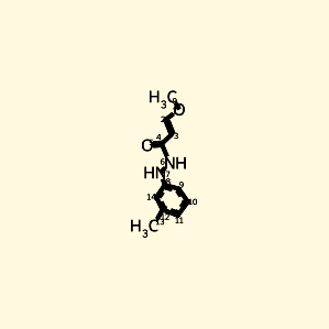 CO/C=C/C(=O)NNc1cccc(C)c1